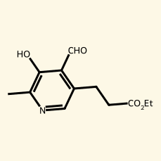 CCOC(=O)CCc1cnc(C)c(O)c1C=O